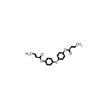 CC=CC(=O)Oc1ccc(Sc2ccc(OC(=O)C=CC)cc2)cc1